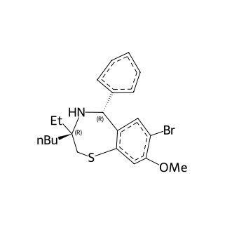 CCCC[C@]1(CC)CSc2cc(OC)c(Br)cc2[C@@H](c2ccccc2)N1